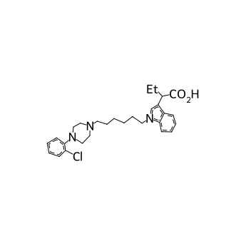 CCC(C(=O)O)c1cn(CCCCCCN2CCN(c3ccccc3Cl)CC2)c2ccccc12